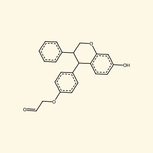 O=CCOc1ccc(C2c3ccc(O)cc3OCC2c2ccccc2)cc1